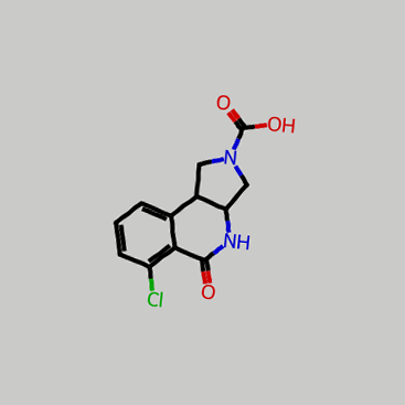 O=C1NC2CN(C(=O)O)CC2c2cccc(Cl)c21